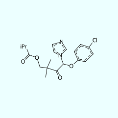 CC(C)C(=O)OCC(C)(C)C(=O)C(Oc1ccc(Cl)cc1)n1ccnc1